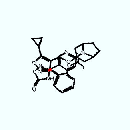 O=c1[nH]c(-c2ccc(N3C4CCC3CC(OCc3c(-c5ccccc5OC(F)F)noc3C3CC3)C4)nc2)no1